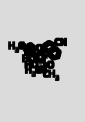 CN(C)C(=O)[C@H]1[C@@H](O)[C@@]2(O)c3nn(C)cc3O[C@@]2(c2ccc(C#N)cc2)[C@@H]1c1ccccc1